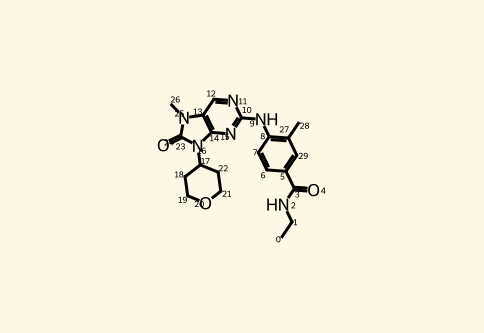 CCNC(=O)c1ccc(Nc2ncc3c(n2)n(C2CCOCC2)c(=O)n3C)c(C)c1